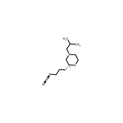 C[C](C)CN1CCO[C@H](CCCN=[N+]=[N-])C1